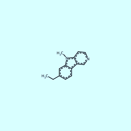 CCc1ccc2c3cnccc3n(C)c2c1